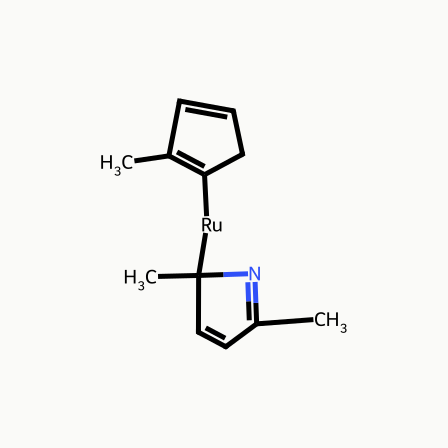 CC1=N[C](C)([Ru][C]2=C(C)C=CC2)C=C1